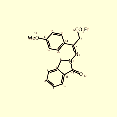 CCOC(=O)CC(=NN1Cc2ccccc2C1=O)c1ccc(OC)cc1